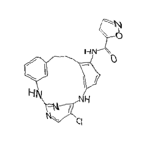 O=C(Nc1ccc2cc1CCc1cccc(c1)Nc1ncc(Cl)c(n1)N2)c1ccno1